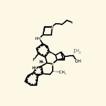 C[C@H](O)C1CC23CC1C2c1cc(NC2CN(CCCF)C2)cc(F)c1[C@@H]1c2[nH]c4ccccc4c2C[C@@H](C)N13